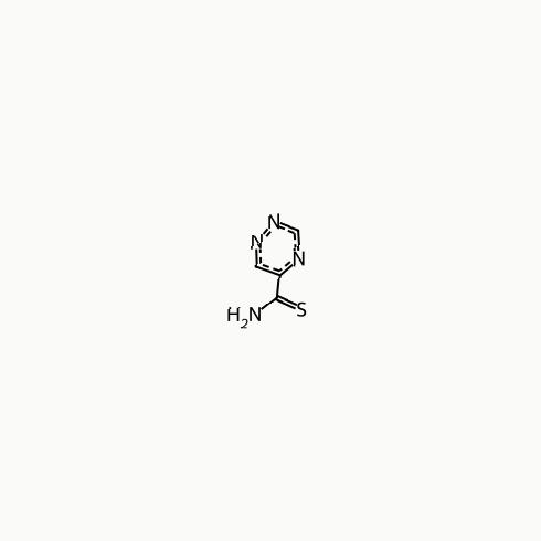 NC(=S)c1cnncn1